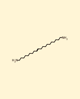 NCCCCCCCCC=CCCCCCCCCCCN